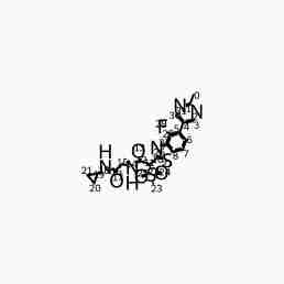 Cc1ncc(-c2ccc3sc(C(C(=O)NCC(=O)NC4CC4)S(C)(=O)=O)nc3c2F)cn1